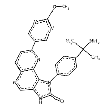 COc1ncc(-c2ccc3ncc4[nH]c(=O)n(-c5ccc(C(C)(C)N)cc5)c4c3n2)cn1